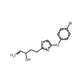 C=CC(O)CCc1nc(Oc2ccc(Br)cc2)cs1